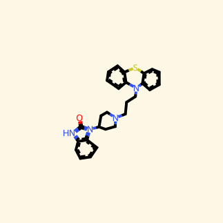 O=c1[nH]c2ccccc2n1C1CCN(CCCN2c3ccccc3Sc3ccccc32)CC1